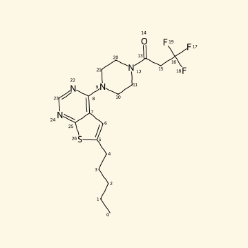 CCCCCc1cc2c(N3CCN(C(=O)CC(F)(F)F)CC3)ncnc2s1